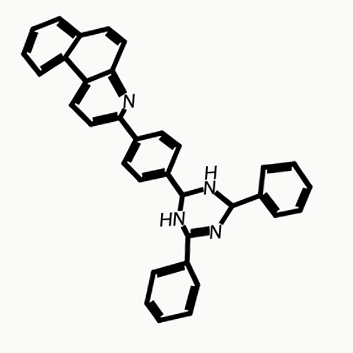 c1ccc(C2=NC(c3ccccc3)NC(c3ccc(-c4ccc5c(ccc6ccccc65)n4)cc3)N2)cc1